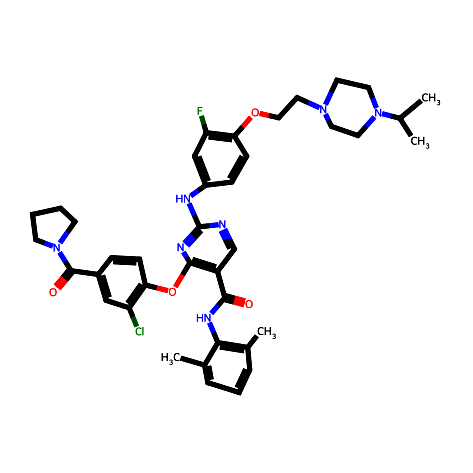 Cc1cccc(C)c1NC(=O)c1cnc(Nc2ccc(OCCN3CCN(C(C)C)CC3)c(F)c2)nc1Oc1ccc(C(=O)N2CCCC2)cc1Cl